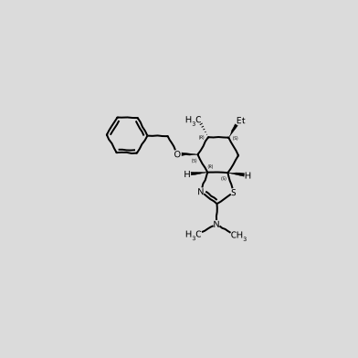 CC[C@H]1C[C@@H]2SC(N(C)C)=N[C@@H]2[C@@H](OCc2ccccc2)[C@@H]1C